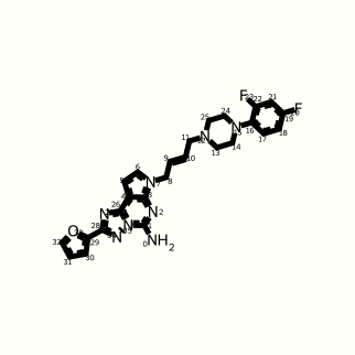 Nc1nc2c(ccn2C/C=C/CN2CCN(c3ccc(F)cc3F)CC2)c2nc(-c3ccco3)nn12